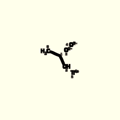 CCO.[O-2].[O-2].[Ti+4]